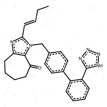 CC/C=C/c1nc2c(n1Cc1ccc(-c3ccccc3-c3nnn[nH]3)cc1)C(=O)CCCC2